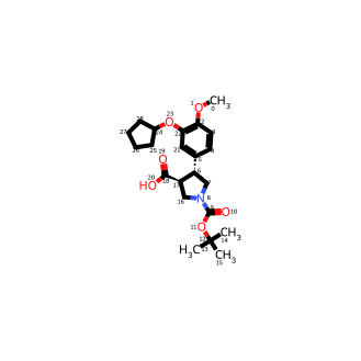 COc1ccc([C@@H]2CN(C(=O)OC(C)(C)C)C[C@H]2C(=O)O)cc1OC1CCCC1